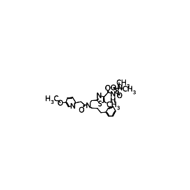 COc1ccc(CC(=O)N(CCCc2ccccc2)Cc2nc(C(=O)NS(=O)(=O)N(C)C)c(C)s2)nc1